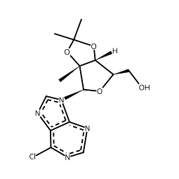 CC1(C)O[C@@H]2[C@@H](CO)O[C@@H](n3cnc4c(Cl)ncnc43)[C@]2(C)O1